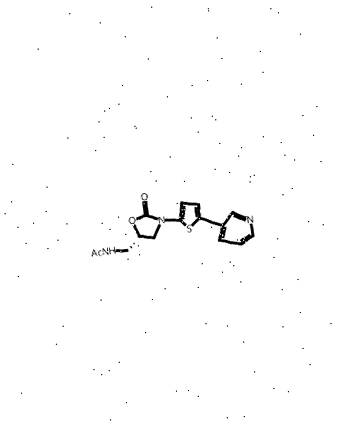 CC(=O)NC[C@H]1CN(c2ccc(-c3cccnc3)s2)C(=O)O1